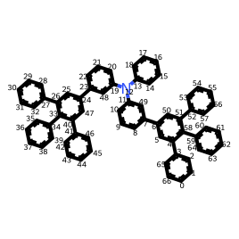 c1ccc(-c2cc(-c3cccc(N(c4ccccc4)c4cccc(-c5cc(-c6ccccc6)c(-c6ccccc6)c(-c6ccccc6)c5)c4)c3)cc(-c3ccccc3)c2-c2ccccc2)cc1